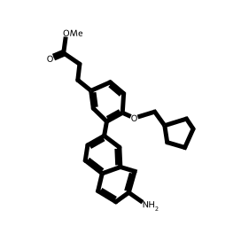 COC(=O)CCc1ccc(OCC2CCCC2)c(-c2ccc3ccc(N)cc3c2)c1